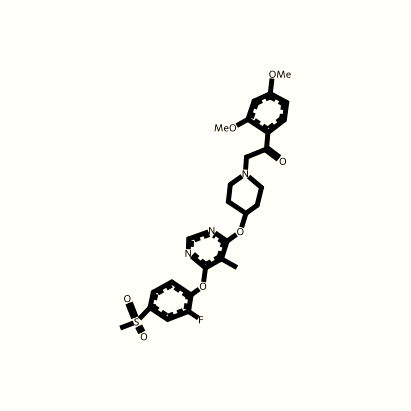 COc1ccc(C(=O)CN2CCC(Oc3ncnc(Oc4ccc(S(C)(=O)=O)cc4F)c3C)CC2)c(OC)c1